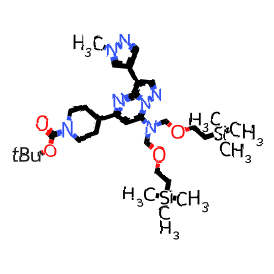 Cn1cc(-c2cnn3c(N(COCC[Si](C)(C)C)COCC[Si](C)(C)C)cc(C4CCN(C(=O)OC(C)(C)C)CC4)nc23)cn1